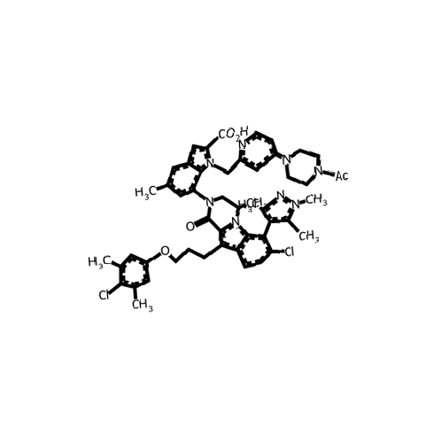 CC(=O)N1CCN(c2ccnc(Cn3c(C(=O)O)cc4cc(C)cc(N5CC(C)n6c(c(CCCOc7cc(C)c(Cl)c(C)c7)c7ccc(Cl)c(-c8c(C)nn(C)c8C)c76)C5=O)c43)c2)CC1